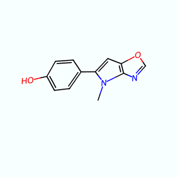 Cn1c(-c2ccc(O)cc2)cc2ocnc21